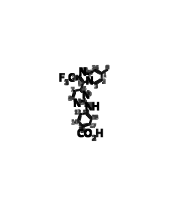 Cc1ccn2c(-c3ccnc(Nc4ccc(C(=O)O)cc4)n3)c(C(F)(F)F)nc2c1